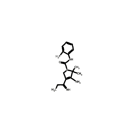 CCC(=N)C1=C(N)C(C)(C)N(C(=O)Nc2ccccc2P)C1